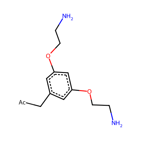 CC(=O)Cc1cc(OCCN)cc(OCCN)c1